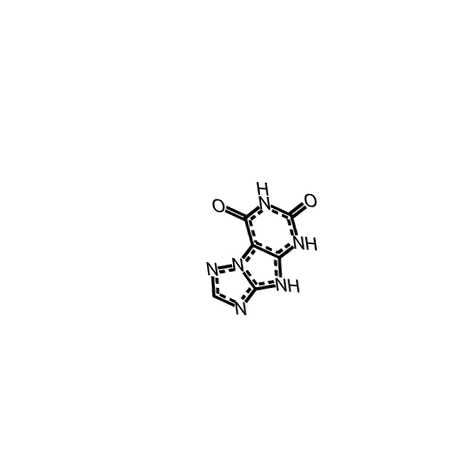 O=c1[nH]c(=O)c2c([nH]1)[nH]c1ncnn12